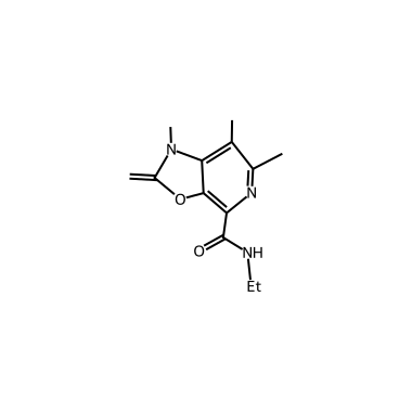 C=C1Oc2c(C(=O)NCC)nc(C)c(C)c2N1C